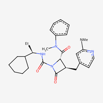 CC[C@@H](NC(=O)N1C(=O)[C@H](Cc2ccnc(NC)c2)[C@H]1C(=O)N(C)c1ccccc1)C1CCCCC1